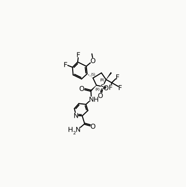 COc1c([C@@H]2C[C@](C)(C(F)(F)F)S(=O)(=O)[C@H]2C(=O)Nc2ccnc(C(N)=O)c2)ccc(F)c1F